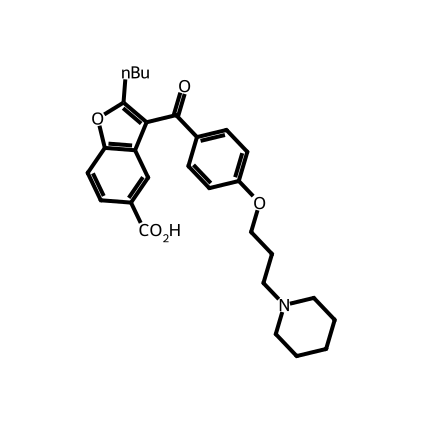 CCCCc1oc2ccc(C(=O)O)cc2c1C(=O)c1ccc(OCCCN2CCCCC2)cc1